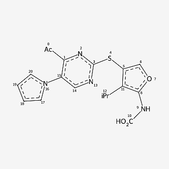 CC(=O)c1nc(Sc2coc(NC(=O)O)c2C(C)C)ncc1-n1cccc1